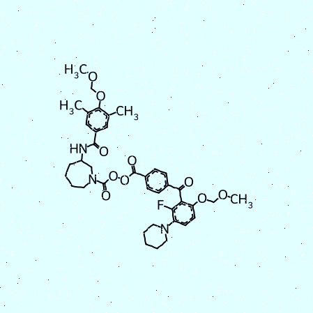 COCOc1ccc(N2CCCCC2)c(F)c1C(=O)c1ccc(C(=O)OOC(=O)N2CCCCC(NC(=O)c3cc(C)c(OCOC)c(C)c3)C2)cc1